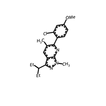 CCC(CC)c1nn(C)c2nc(-c3ccc(OC)cc3Cl)c(C)cc12